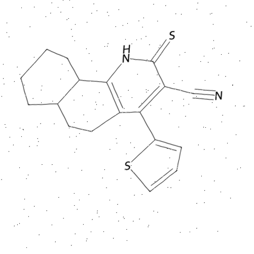 N#Cc1c(-c2cccs2)c2c([nH]c1=S)C1CCCCC1CC2